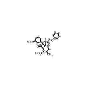 CNc1cccc(C2(NC(=O)COc3ccccc3)C(=O)N3C(C(=O)O)C(C)CS[C@H]32)c1